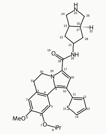 COc1cc2c(cc1OC(C)C)-c1c(-c3cccs3)cc(C(=O)NC3CC4CNC[C@H]4C3)n1CC2